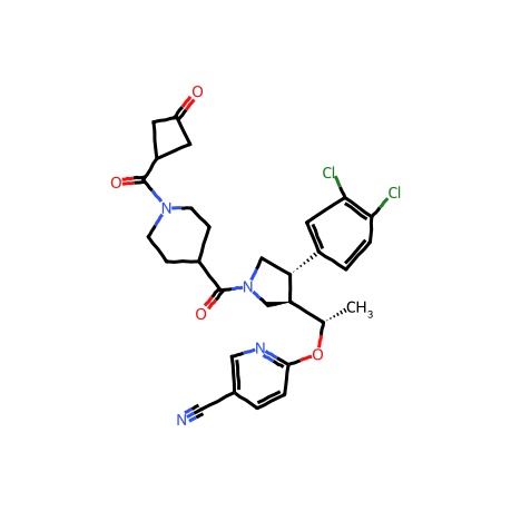 C[C@H](Oc1ccc(C#N)cn1)[C@H]1CN(C(=O)C2CCN(C(=O)C3CC(=O)C3)CC2)C[C@@H]1c1ccc(Cl)c(Cl)c1